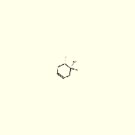 CC(=O)[C@]1(C)CC=CC[C@@H]1C